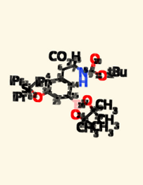 CC(C)[Si](Oc1cc(C[C@H](NC(=O)OC(C)(C)C)C(=O)O)cc(B2OC(C)(C)C(C)(C)O2)c1)(C(C)C)C(C)C